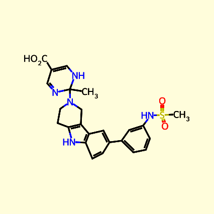 CC1(N2CCc3[nH]c4ccc(-c5cccc(NS(C)(=O)=O)c5)cc4c3C2)N=CC(C(=O)O)=CN1